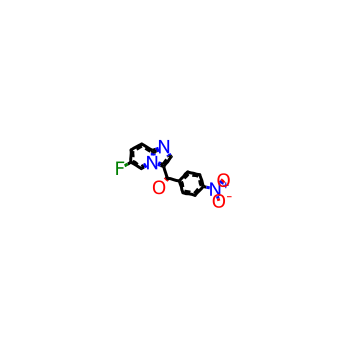 O=C(c1ccc([N+](=O)[O-])cc1)c1cnc2ccc(F)cn12